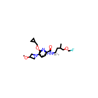 COC1CN(c2ccc(C(=O)N[C@@H](C)CC(C)COCF)nc2OCC2CC2)C1